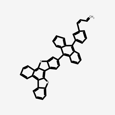 C=C/C=C\c1cccc(-c2c3ccccc3c(-c3ccc4c(c3)sc3c5ccccc5c5c6ccccc6sc5c43)c3ccccc23)c1